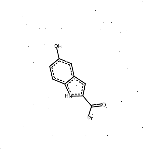 CC(C)C(=O)c1cc2cc(O)ccc2[nH]1